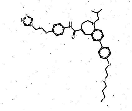 CCCCOCCOc1ccc(-c2ccc3c(c2)C=C(C(=O)Nc2ccc(SCCn4cnnc4)cc2)CCN3CC(C)C)cc1